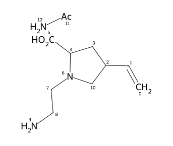 C=CC1CC(C(=O)O)N(CCN)C1.CC(N)=O